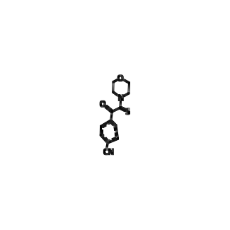 N#Cc1ccc(C(=O)C(=S)N2CCOCC2)cc1